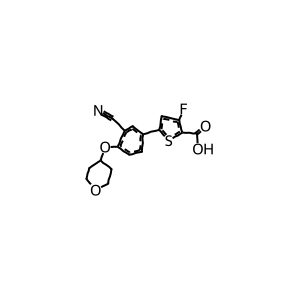 N#Cc1cc(-c2cc(F)c(C(=O)O)s2)ccc1OC1CCOCC1